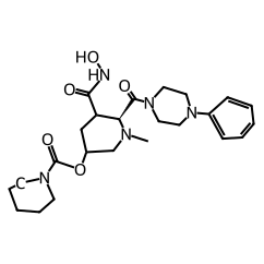 CN1CC(OC(=O)N2CCCCC2)CC(C(=O)NO)[C@H]1C(=O)N1CCN(c2ccccc2)CC1